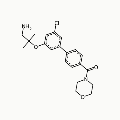 CC(C)(CN)Oc1cc(Cl)cc(-c2ccc(C(=O)N3CCOCC3)cc2)c1